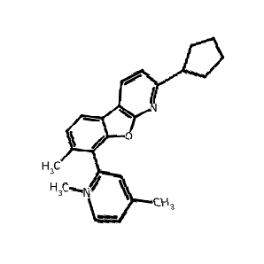 Cc1cc[n+](C)c(-c2c(C)ccc3c2oc2nc(C4CCCC4)ccc23)c1